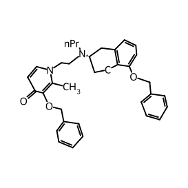 CCCN(CCn1ccc(=O)c(OCc2ccccc2)c1C)[C@H]1CCc2c(cccc2OCc2ccccc2)C1